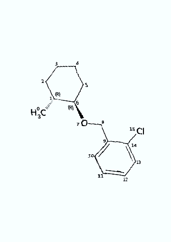 C[C@@H]1CCCC[C@H]1OCc1ccccc1Cl